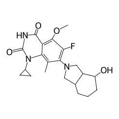 COc1c(F)c(N2CC3CCCC(O)C3C2)c(C)c2c1c(=O)[nH]c(=O)n2C1CC1